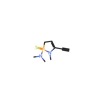 C#CC1=CCP(=S)(N(C)C)N1C